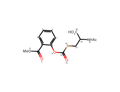 COC(=O)c1ccccc1OC(=O)SCC(NC(C)=O)C(=O)O